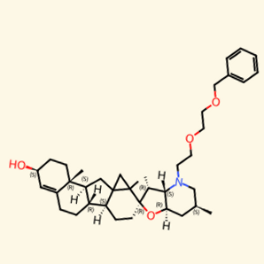 C[C@H]1C[C@H]2O[C@]3(CC[C@H]4[C@@H]5CCC6=C[C@@H](O)CC[C@]6(C)[C@H]5CC45CC53C)[C@H](C)[C@@H]2N(CCOCCOCc2ccccc2)C1